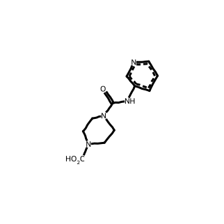 O=C(O)N1CCN(C(=O)Nc2cccnc2)CC1